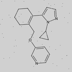 c1cncc(OCC2=C(c3ccnn3C3CC3)CCCC2)c1